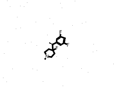 C[C@@H](c1cc(F)cc(F)c1)C1(F)CCN(C)CC1